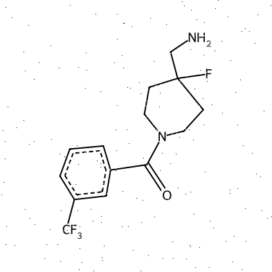 NCC1(F)CCN(C(=O)c2cccc(C(F)(F)F)c2)CC1